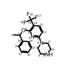 CC(Oc1nc(N2CCNCC2)ccc1C(F)(F)F)c1ccccc1